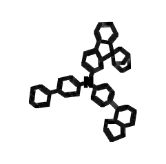 c1ccc(-c2ccc(N(c3ccc(-c4cccc5ccccc45)cc3)c3ccc4c(c3)C3(CC5CCC3C5)c3ccccc3-4)cc2)cc1